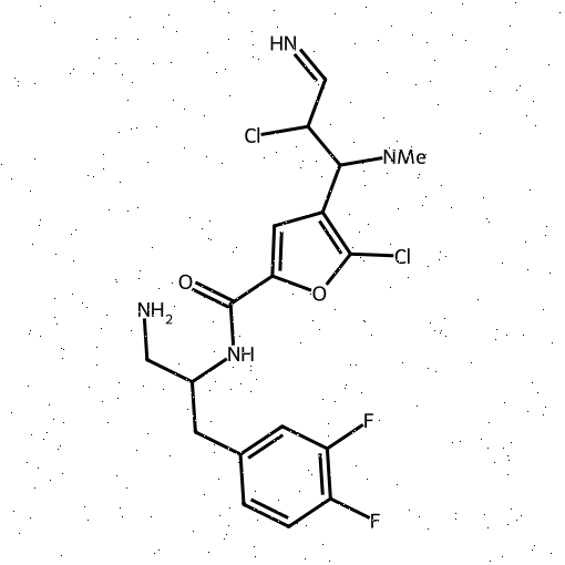 CNC(c1cc(C(=O)NC(CN)Cc2ccc(F)c(F)c2)oc1Cl)C(Cl)C=N